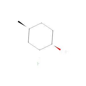 C[C@H]1CC[C@@H](O)[C@H](F)C1